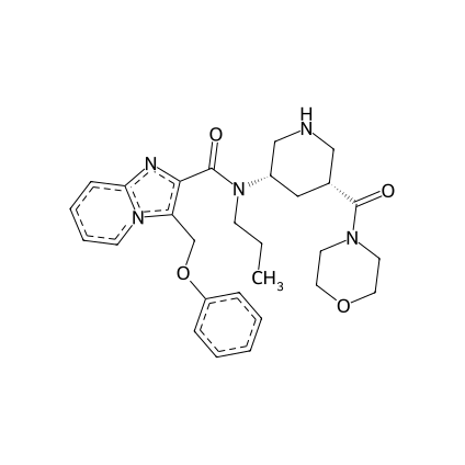 CCCN(C(=O)c1nc2ccccn2c1COc1ccccc1)[C@@H]1CNC[C@H](C(=O)N2CCOCC2)C1